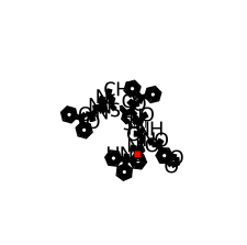 Cc1cc(SCC2=C(C(=O)OC(c3ccccc3)c3ccccc3)N3C(=O)[C@@H](NC(=O)C(=NOC(=O)c4ccc5c(c4)OCO5)c4csc(NC(c5ccccc5)(c5ccccc5)c5ccccc5)n4)[C@H]3SC2)n2nc(C(=O)OC(c3ccccc3)c3ccccc3)nc2n1